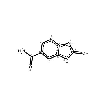 NC(=O)c1cnc2[nH]c(=O)[nH]c2c1